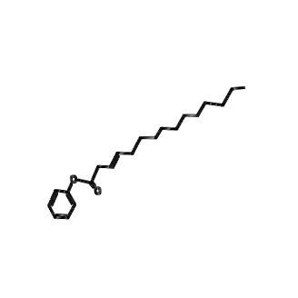 CCCCCCCCCCC/C=C/CC(=O)Oc1ccccc1